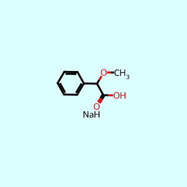 COC(C(=O)O)c1ccccc1.[NaH]